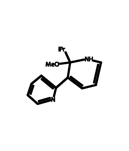 COC1(C(C)C)NC=CC=C1c1ccccn1